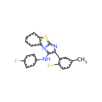 Cc1ccc(F)c(-c2nc3sc4ccccc4n3c2Nc2ccc(F)cc2)c1